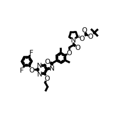 CCCOc1nc(Oc2cc(F)ccc2F)nc2oc(-c3cc(C)c(OCC(=O)N4CCC[C@@H]4OC(=O)OC(C)(C)C)c(C)c3)nc12